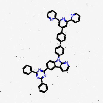 c1ccc(-c2nc(-c3ccccc3)nc(-c3ccc4c(c3)c3cccnc3n4-c3ccc(-c4ccc(-c5cc(-c6ccccn6)nc(-c6ccccn6)c5)cc4)cc3)n2)cc1